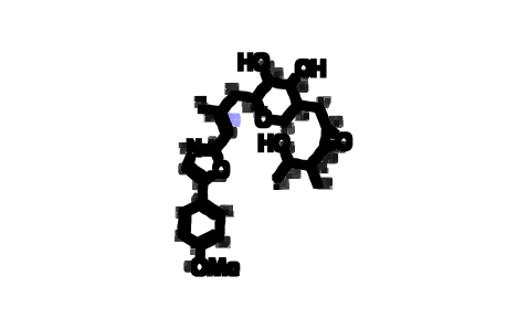 COc1ccc(-c2cnc(/C=C(\C)CC3OCC(CC4OC4C(C)C(C)O)C(O)C3O)o2)cc1